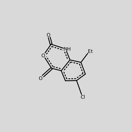 CCc1cc(Cl)cc2c(=O)oc(=O)[nH]c12